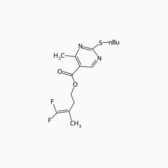 CCCCSc1ncc(C(=O)OCCC(C)=C(F)F)c(C)n1